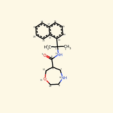 CC(C)(NC(=O)C1CNCCOC1)c1cccc2ccccc12